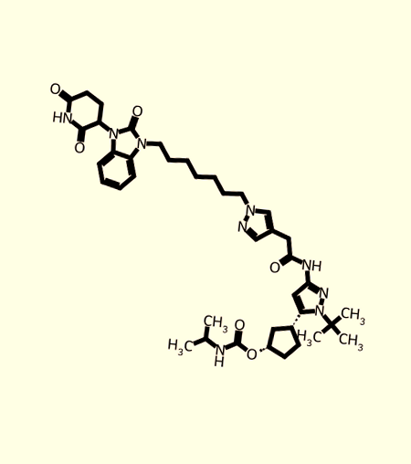 CC(C)NC(=O)O[C@H]1CC[C@@H](c2cc(NC(=O)Cc3cnn(CCCCCCCn4c(=O)n(C5CCC(=O)NC5=O)c5ccccc54)c3)nn2C(C)(C)C)C1